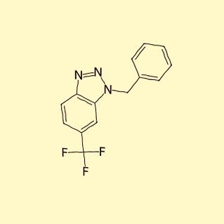 FC(F)(F)c1ccc2nnn(Cc3ccccc3)c2c1